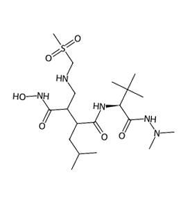 CC(C)CC(C(=O)N[C@H](C(=O)NN(C)C)C(C)(C)C)C(CNCS(C)(=O)=O)C(=O)NO